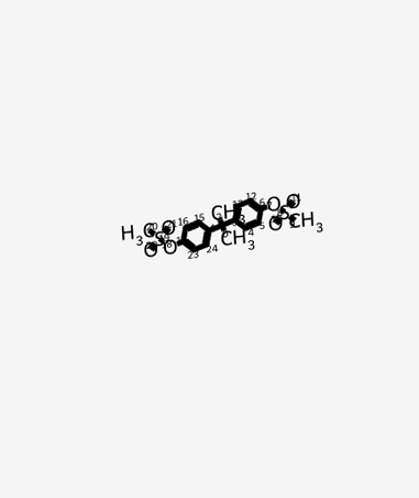 CC(C)(c1ccc(OS(C)(=O)=O)cc1)c1ccc(OS(C)(=O)=O)cc1